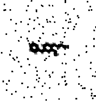 O=CC1CN(Cc2ccccc2)CCC1CCCO